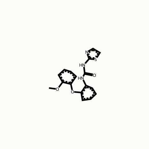 COc1ccccc1Oc1ccccc1NC(=O)Nc1nccs1